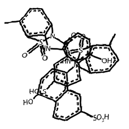 Cc1ccc2c(NC(=O)Nc3c4ccc(C)c3S(=O)(=O)N4c3ccc(O)c4ccc(S(=O)(=O)O)cc34)c1S(=O)(=O)N2c1ccc(O)c2ccc(S(=O)(=O)O)cc12